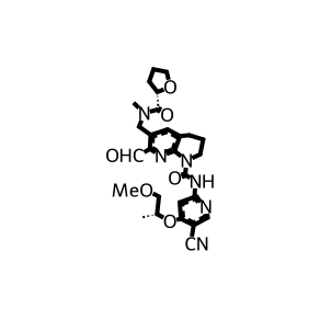 COC[C@@H](C)Oc1cc(NC(=O)N2CCCc3cc(CN(C)C(=O)[C@@H]4CCCO4)c(C=O)nc32)ncc1C#N